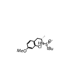 COc1ccc(C[C@H](C)N[S+]([O-])C(C)(C)C)c(Cl)c1